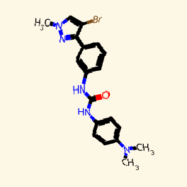 CN(C)c1ccc(NC(=O)Nc2cccc(-c3nn(C)cc3Br)c2)cc1